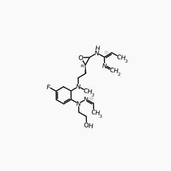 C=N/C(=C\C)NC1O[C@@H]1CCN(C)C1CC(F)=CC=C1N(CCO)/N=C\C